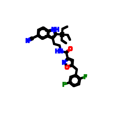 CC[Si](CC)(CC)c1[nH]c2ccc(C#N)cc2c1CCNC(=O)c1cc(Cc2cc(F)ccc2F)on1